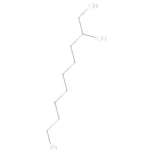 CC(C)CCCCCCCC(O)CO